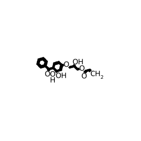 C=CC(=O)OCC(O)COC1=CC(O)(O)C(C(=O)c2ccccc2)C=C1